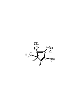 CC1=C(C(C)(C)C)C(C(C)(C)C)=[C]([Ti+2])C1(C)[SiH3].[Cl-].[Cl-]